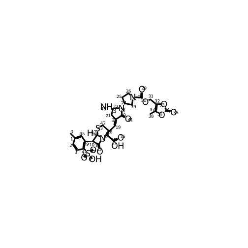 Cc1ccc(S(=O)(=O)O)c([C@@H]2C(=O)N3C(C(=O)O)=C(/C=C4\CCN([C@@H]5CCN(C(=O)OCc6oc(=O)oc6C)C5)C4=O)CS[C@H]23)c1.N